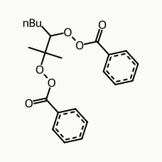 CCCCC(OOC(=O)c1ccccc1)C(C)(C)OOC(=O)c1ccccc1